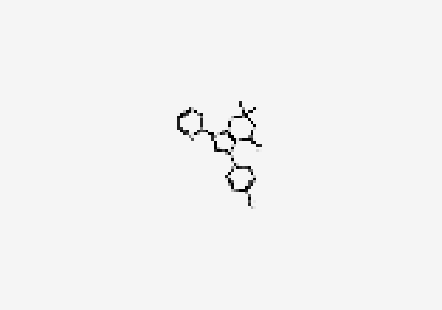 CC1(C)CC(=O)c2c(-c3ccc(Cl)cc3)cn(-c3ccccn3)c2C1